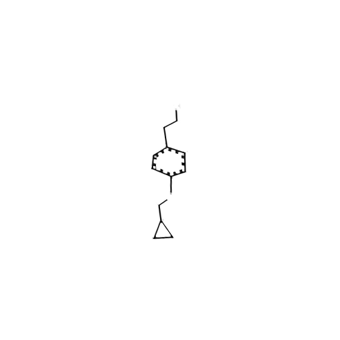 OCCc1ccc(OCC2CC2)cc1